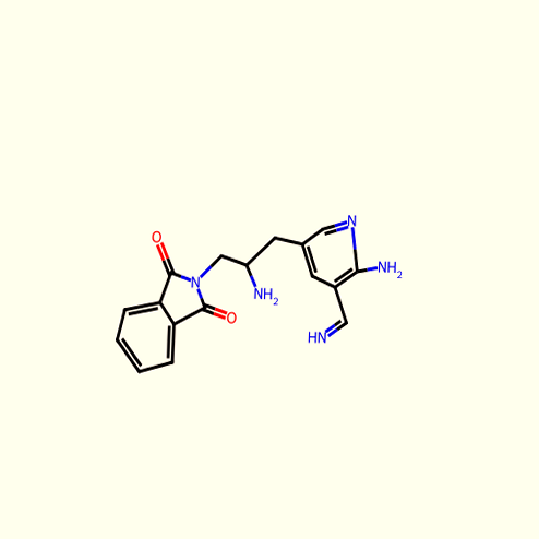 N=Cc1cc(CC(N)CN2C(=O)c3ccccc3C2=O)cnc1N